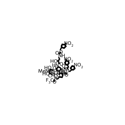 CN[C@@H]1[C@@H](O)[C@@H](O[C@@H]2[C@@H](O)[C@H](C3OC(CNC(=O)C(F)(F)F)=CC[C@H]3NC(=O)OCc3ccc([N+](=O)[O-])cc3)[C@@H](NC(=O)OCc3ccc([N+](=O)[O-])cc3)C[C@H]2NC(=O)[C@@H](O)CCNC(=O)OCc2ccc([N+](=O)[O-])cc2)OC[C@]1(C)O